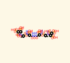 Cc1ccc(S(=O)(=O)Nc2ccc(C(=O)NC(=O)NC(=O)c3ccc(NS(=O)(=O)c4ccc(C)c(Nc5ccc(S(=O)(=O)O)c6cc(S(=O)(=O)O)cc(S(=O)(=O)O)c56)c4)c(S(=O)(=O)O)c3)cc2S(=O)(=O)O)cc1Nc1ccc(S(=O)(=O)O)c2cc(S(=O)(=O)O)cc(S(=O)(=O)O)c12